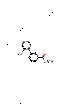 COC(=O)c1cccc(-c2cc[c]cc2C(C)=O)c1